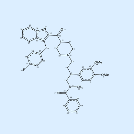 COc1ccc(C(CCN2CCC(C(=O)c3nc4ccccc4n3Cc3ccc(F)cc3)CC2)CN(C)C(=O)c2ccccc2)cc1OC